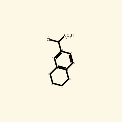 O=C(O)C(Cl)c1ccc2c(c1)CCCC2